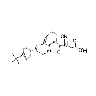 CC(C)(C)c1ccc(-c2cnc3c(C(=O)NCC(=O)O)c(O)ccc3c2)cc1